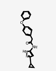 O=C(Cc1ccc(Oc2ccccc2)cc1)Nc1cc(C2CC2)n[nH]1